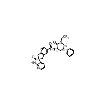 C[C@@H]1[C@H](c2ccccc2)C[C@H](NC(=O)c2cnc3c(c2)CC2(C3)C(=O)Nc3ncccc32)C(=O)N1CC(F)(F)F